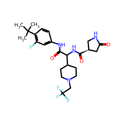 CC(C)(C)c1ccc(NC(=O)C(NC(=O)[C@H]2CNC(=O)C2)C2CCN(CC(F)(F)F)CC2)cc1F